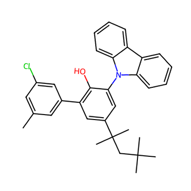 Cc1cc(Cl)cc(-c2cc(C(C)(C)CC(C)(C)C)cc(-n3c4ccccc4c4ccccc43)c2O)c1